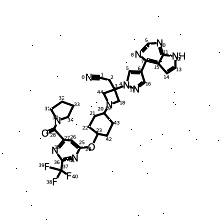 N#CCC1(n2cc(-c3ncnc4[nH]ccc34)cn2)CN(C2CCC(Oc3cc(C(=O)N4CCCC4)nc(C(F)(F)F)n3)CC2)C1